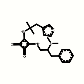 CN(C)C(CNc1c(NC(C)(C)Cc2ccsc2)c(=O)c1=O)Cc1ccccc1